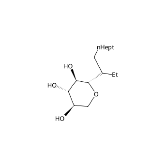 CCCCCCCCC(CC)[C@@H]1OC[C@@H](O)[C@H](O)[C@H]1O